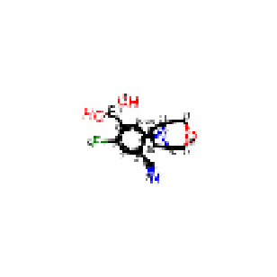 N#Cc1cc(F)c(B(O)O)cc1N1C2CCC1COC2